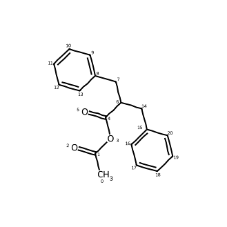 CC(=O)OC(=O)C(Cc1ccccc1)Cc1ccccc1